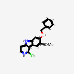 COc1cc2c(cc1OCc1ccccc1)=NC1=CC=NC(Cl)C=21